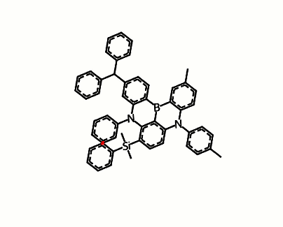 Cc1ccc(N2c3ccc(C)cc3B3c4ccc(C(c5ccccc5)c5ccccc5)cc4N(c4ccccc4)c4c([Si](C)(C)c5ccccc5)ccc2c43)cc1